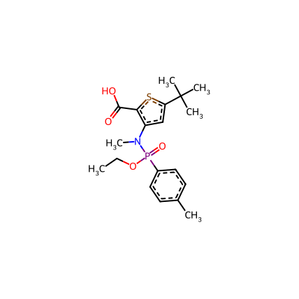 CCOP(=O)(c1ccc(C)cc1)N(C)c1cc(C(C)(C)C)sc1C(=O)O